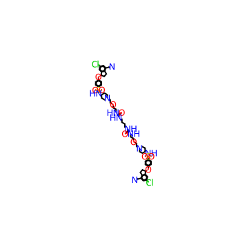 N#Cc1cc(Cl)cc2c1CC[C@H]2Oc1ccc(S(=O)(=O)NC2CCN(CCOCCNC(=O)NCCCCNC(=O)NCCOCCN3CCC(NS(=O)(=O)c4ccc(O[C@@H]5CCc6c(C#N)cc(Cl)cc65)cc4)CC3)CC2)cc1